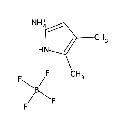 Cc1cc[nH]c1C.F[B-](F)(F)F.[NH4+]